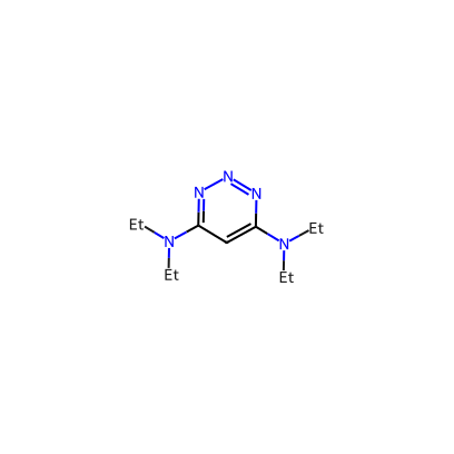 CCN(CC)c1cc(N(CC)CC)nnn1